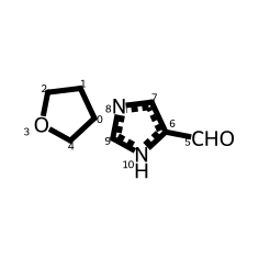 C1CCOC1.O=Cc1cnc[nH]1